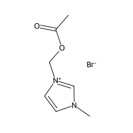 CC(=O)OC[n+]1ccn(C)c1.[Br-]